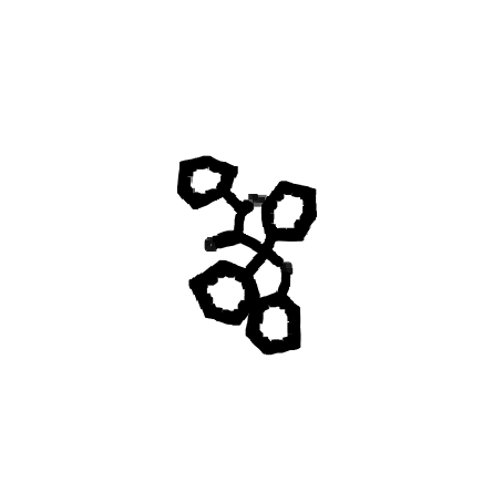 O=C(C(=[PH3])c1ccccc1)C(Oc1ccccc1)(c1ccccc1)c1ccccc1